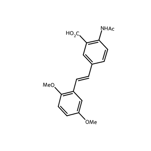 COc1ccc(OC)c(C=Cc2ccc(NC(C)=O)c(C(=O)O)c2)c1